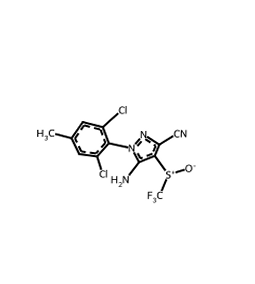 Cc1cc(Cl)c(-n2nc(C#N)c([S+]([O-])C(F)(F)F)c2N)c(Cl)c1